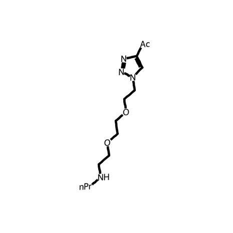 CCCNCCOCCOCCn1cc(C(C)=O)nn1